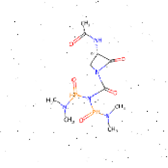 CC(=O)N[C@H]1CN(C(=O)N([PH](=O)N(C)C)[PH](=O)N(C)C)C1=O